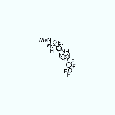 CCc1cc(Nc2nccp3c(-c4ccc(OC(F)F)c(F)c4F)cnc23)ccc1C(=O)NC1(CNC)CC1